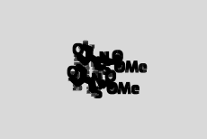 COC(=O)c1nc(C2=CCOCC2)cs1.COC(=O)c1nc(C2=CCOCC2)cs1